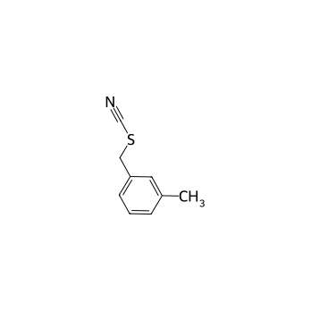 Cc1cccc(CSC#N)c1